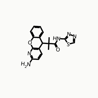 CC(C)(C(=O)Nc1nncs1)C1c2ccccc2Oc2nc(N)ccc21